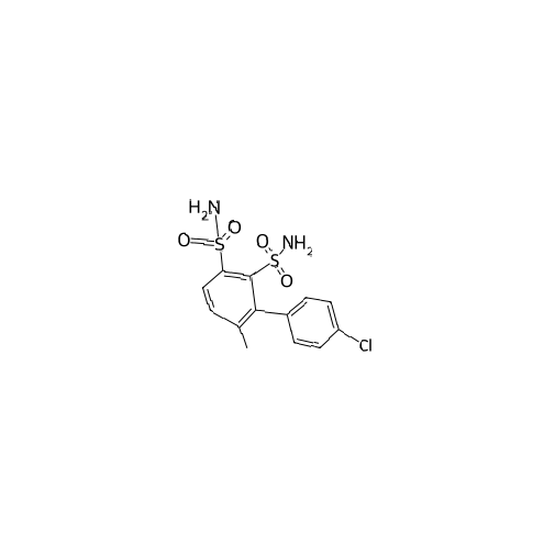 Cc1ccc(S(N)(=O)=O)c(S(N)(=O)=O)c1-c1ccc(Cl)cc1